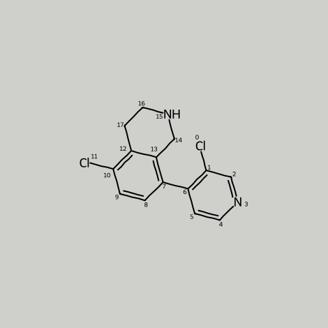 Clc1cnccc1-c1ccc(Cl)c2c1CNCC2